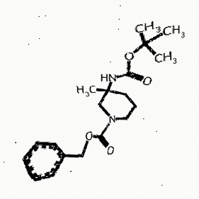 CC1(NC(=O)OC(C)(C)C)CCCN(C(=O)OCc2ccccc2)C1